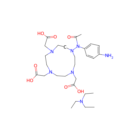 CC(=O)N(c1ccc(N)cc1)N1CCN(CC(=O)O)CCN(CC(=O)O)CCN(CC(=O)O)CC1.CCN(CC)CC